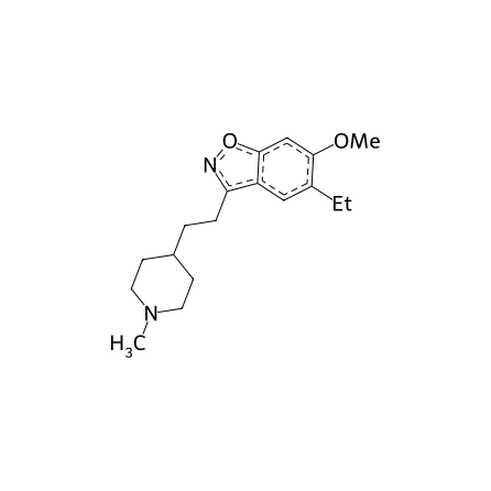 CCc1cc2c(CCC3CCN(C)CC3)noc2cc1OC